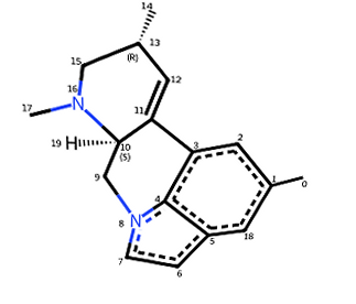 Cc1cc2c3c(ccn3C[C@@H]3C2=C[C@@H](C)CN3C)c1